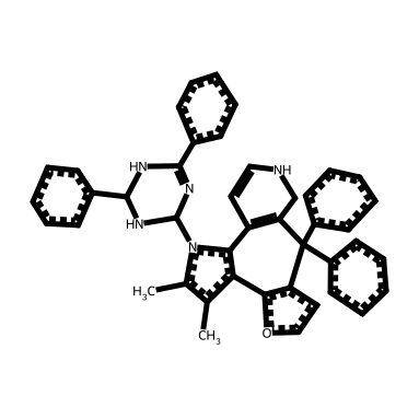 Cc1c2c(n(C3N=C(c4ccccc4)NC(c4ccccc4)N3)c1C)C1=C(CNC=C1)C(c1ccccc1)(c1ccccc1)c1ccoc1-2